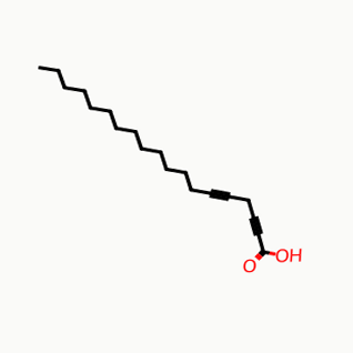 CCCCCCCCCCCCCC#CCC#CC(=O)O